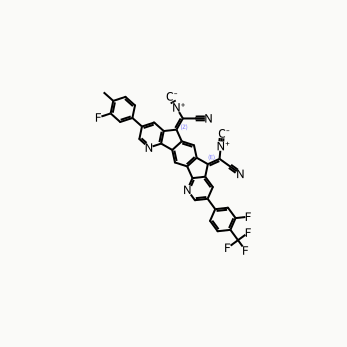 [C-]#[N+]/C(C#N)=C1/c2cc3c(cc2-c2ncc(-c4ccc(C)c(F)c4)cc21)-c1ncc(-c2ccc(C(F)(F)F)c(F)c2)cc1/C3=C(\C#N)[N+]#[C-]